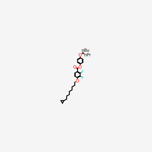 CCCCC(CCC)Oc1ccc(OC(=O)c2ccc(OCCCCCCCCC3CC3)c(F)c2F)cc1